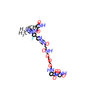 C[C@@H]1CN(c2cc(F)c(-c3ccc(N4CCN(C(=O)CCC(=O)NCCOCCOCCOCCNc5cccc6c5C(=O)N(C5CCC(=O)NC5=O)C6=O)CC4)nc3)cc2NC(=O)c2c[nH]c(=O)cc2C(F)(F)F)C[C@H](C)N1C